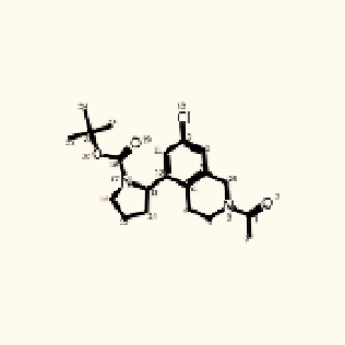 CC(=O)N1CCc2c(cc(Cl)cc2C2CCCN2C(=O)OC(C)(C)C)C1